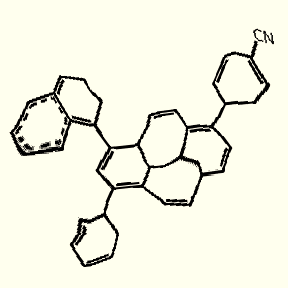 N#CC1=CCC(C2=C3C=CC4C(C5=c6ccccc6=CCC5)=CC(C5C=CC=CC5)=C5C=CC(C=C2)C3C54)C=C1